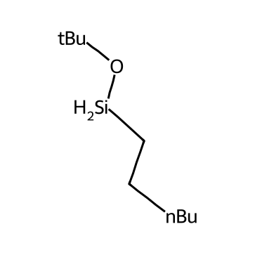 CCCCCC[SiH2]OC(C)(C)C